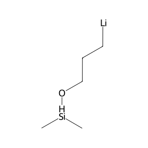 [Li][CH2]CCO[SiH](C)C